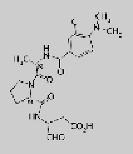 C[C@H](NC(=O)c1ccc(N(C)C)c(Cl)c1)C(=O)N1CCC[C@H]1C(=O)NC(C=O)CC(=O)O